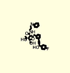 CC(O)[C@H]1[C@@H](CO)ON(Cc2cccc(C#CC(O)c3ccc(F)cc3)c2)[C@H]1C(=O)NCCCN(C)c1ccccc1